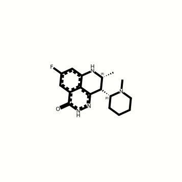 C[C@H]1Nc2cc(F)cc3c(=O)[nH]nc(c23)C1[C@H]1CCCCN1C